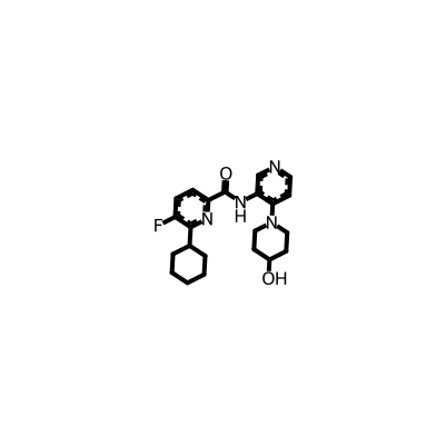 O=C(Nc1cnccc1N1CCC(O)CC1)c1ccc(F)c(C2CCCCC2)n1